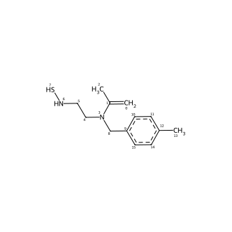 C=C(C)N(CCNS)Cc1ccc(C)cc1